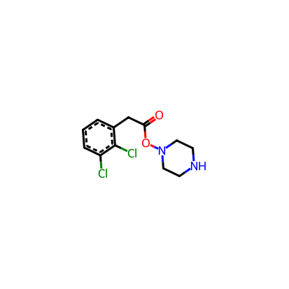 O=C(Cc1cccc(Cl)c1Cl)ON1CCNCC1